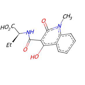 CC[C@H](NC(=O)c1c(O)c2ccccc2n(C)c1=O)C(=O)O